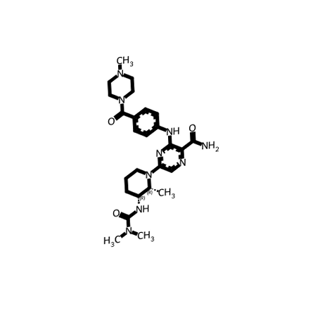 C[C@@H]1[C@H](NC(=O)N(C)C)CCCN1c1cnc(C(N)=O)c(Nc2ccc(C(=O)N3CCN(C)CC3)cc2)n1